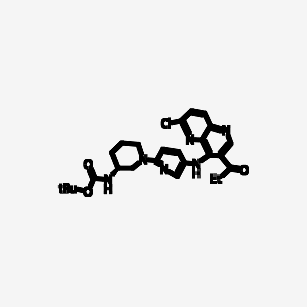 CCC(=O)c1cnc2ccc(Cl)nc2c1Nc1ccc(N2CCC[C@H](NC(=O)OC(C)(C)C)C2)nc1